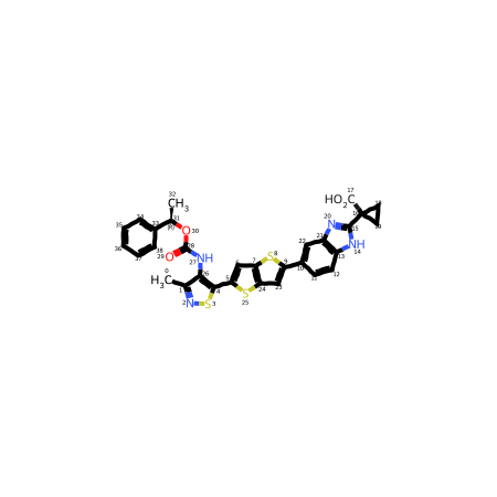 Cc1nsc(-c2cc3sc(-c4ccc5[nH]c(C6(C(=O)O)CC6)nc5c4)cc3s2)c1NC(=O)O[C@H](C)c1ccccc1